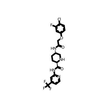 O=C(COc1ccc(Cl)c(F)c1)N[C@H]1CC[C@H](C(=O)Nc2cc(C(F)(F)F)ccn2)NC1